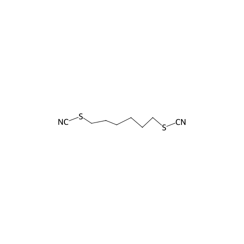 N#CSCCCCCCSC#N